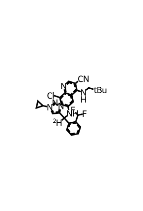 [2H]C(Nc1cc(Cl)c2ncc(C#N)c(NCC(C)(C)C)c2c1)(c1cn(C2CC2)nn1)c1ccccc1C(F)F